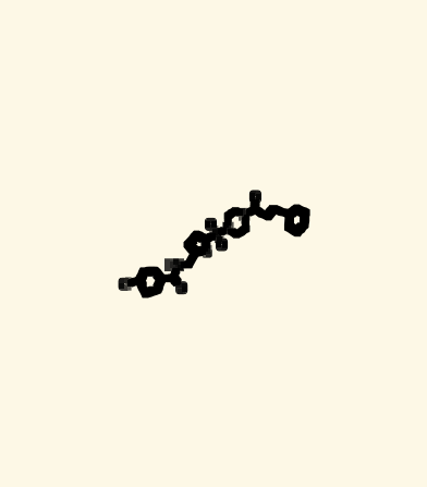 O=C(NCc1ccc(S(=O)(=O)N2CCN(C(=O)C=Cc3ccccc3)CC2)s1)c1ccc(Cl)cc1